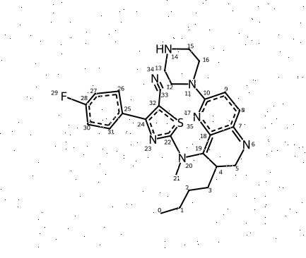 CCCCC1CN=c2ccc(N3CCNCC3)nc2=C1N(C)c1nc(-c2ccc(F)cc2)c(C#N)s1